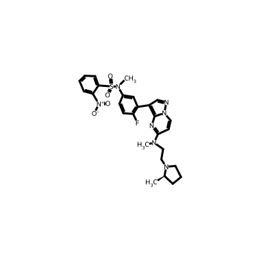 C[C@@H]1CCCN1CCN(C)c1ccn2ncc(-c3cc(N(C)S(=O)(=O)c4ccccc4[N+](=O)[O-])ccc3F)c2n1